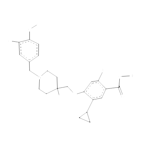 CC(C)(C)OC(=O)c1cc(C2CC2)c(OCC2(F)CCN(Cc3ccc(OC(F)(F)F)c(Cl)c3)CC2)cc1F